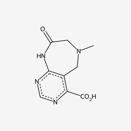 CN1CC(=O)Nc2ncnc(C(=O)O)c2C1